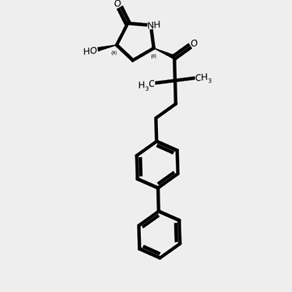 CC(C)(CCc1ccc(-c2ccccc2)cc1)C(=O)[C@H]1C[C@@H](O)C(=O)N1